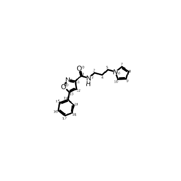 O=C(NCCCn1cccc1)c1cc(-c2ccccc2)on1